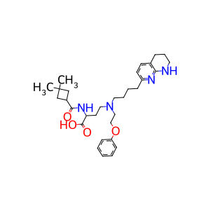 CC1(C)CC(C(=O)NC(CCN(CCCCc2ccc3c(n2)NCCC3)CCOc2ccccc2)C(=O)O)C1